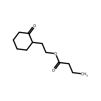 CCCC(=O)OCCC1CCCCC1=O